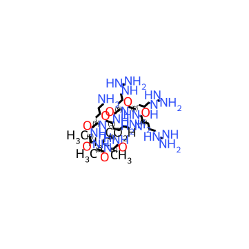 C[C@H](NC(=O)[C@H](C)NC(=O)[C@H](C)NC(=O)[C@H](C)NC(=O)[C@H](CCCCN)NC(=O)[C@H](CCCCN)NC(=O)[C@H](CCCNC(=N)N)NC(=O)[C@H](CCCNC(=N)N)NC(=O)[C@@H](N)CCCNC(=N)N)C(=O)O